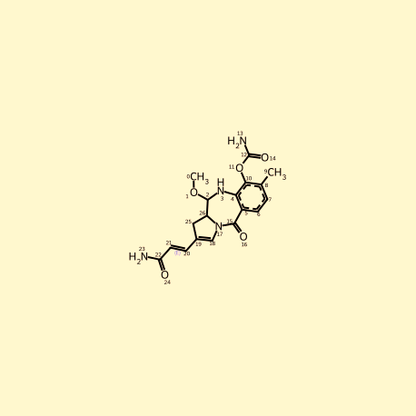 COC1Nc2c(ccc(C)c2OC(N)=O)C(=O)N2C=C(/C=C/C(N)=O)CC12